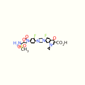 CS(=O)(=O)[C@H](N)C1CN(c2ccc(N3CCN(c4cc5c(cc4F)c(=O)c(C(=O)O)cn5C4CC4)CC3)c(F)c2)C(=O)O1